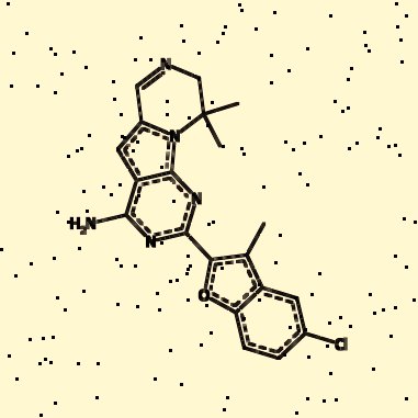 Cc1c(-c2nc(N)c3cc4n(c3n2)C(C)(C)CN=C4)oc2ccc(Cl)cc12